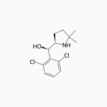 CC1(C)CC[C@H]([C@H](O)c2c(Cl)cccc2Cl)N1